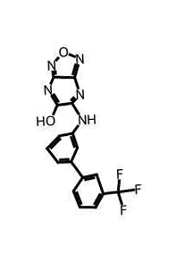 Oc1nc2nonc2nc1Nc1cccc(-c2cccc(C(F)(F)F)c2)c1